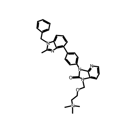 Cc1nc2c(-c3ccc(-n4c(=O)n(COCC[Si](C)(C)C)c5cccnc54)cc3)cccc2n1Cc1ccccc1